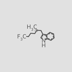 C[C@@H](CCCC(F)(F)F)Cc1c[nH]c2ccccc12